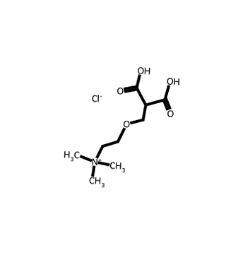 C[N+](C)(C)CCOCC(C(=O)O)C(=O)O.[Cl-]